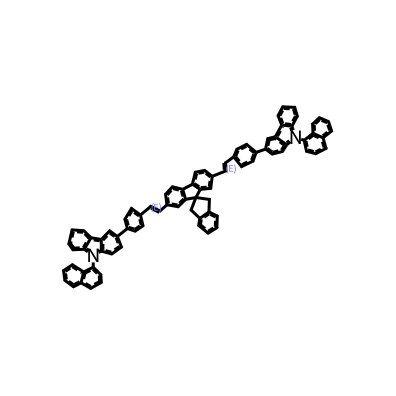 C(=C\c1ccc2c(c1)C1(Cc3ccccc3C1)c1cc(/C=C/c3ccc(-c4ccc5c(c4)c4ccccc4n5-c4cccc5ccccc45)cc3)ccc1-2)/c1ccc(-c2ccc3c(c2)c2ccccc2n3-c2cccc3ccccc23)cc1